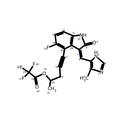 Cc1nc[nH]c1/C=C1\C(=O)Nc2ccc(F)c(C#CCC(C)OC(=O)C(F)(F)F)c21